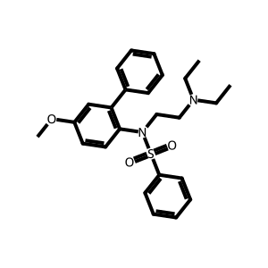 CCN(CC)CCN(c1ccc(OC)cc1-c1ccccc1)S(=O)(=O)c1ccccc1